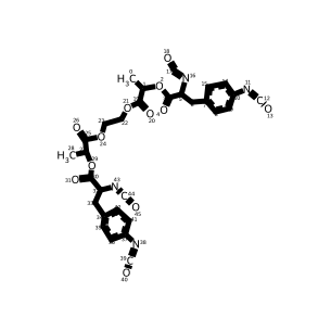 CC(OC(=O)C(Cc1ccc(N=C=O)cc1)N=C=O)C(=O)OCCOC(=O)C(C)OC(=O)C(Cc1ccc(N=C=O)cc1)N=C=O